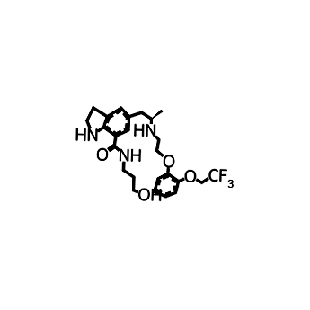 C[C@H](Cc1cc2c(c(C(=O)NCCCO)c1)NCC2)NCCOc1ccccc1OCC(F)(F)F